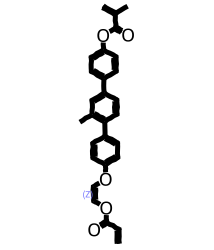 C=CC(=O)O/C=C\Oc1ccc(-c2ccc(-c3ccc(OC(=O)C(=C)C)cc3)cc2C)cc1